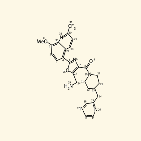 COc1ccc(-c2nc(C(=O)N3CCC(Cc4cnccn4)CC3)c(CN)o2)c2ccc(C(F)(F)F)nc12